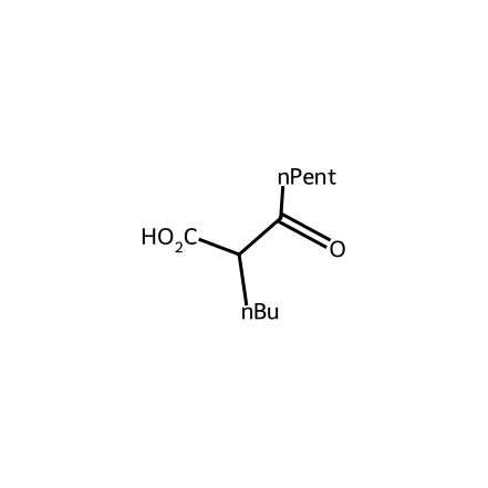 CCCCCC(=O)C(CCCC)C(=O)O